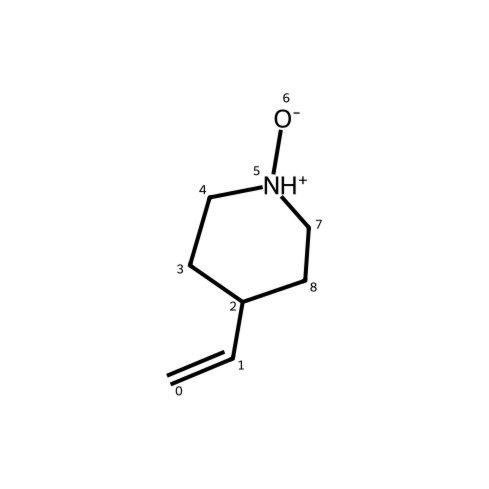 C=CC1CC[NH+]([O-])CC1